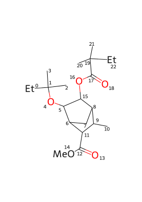 CCC(C)(C)OC1C2CC(C(C)C2C(=O)OC)C1OC(=O)C(C)(C)CC